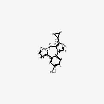 Clc1ccc2c(c1)-c1ncnn1Cc1c(C3CC3)ncn1-2